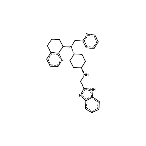 c1ccc(CN(C2CCCc3cccnc32)[C@H]2CC[C@H](NCc3nc4ccccc4[nH]3)CC2)nc1